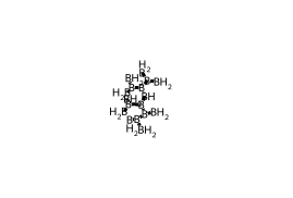 BB(B)B(B)B(BB(B(B)B)B(B)B)B(B)B